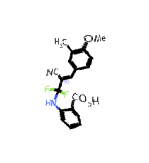 COc1ccc(/C=C(\C#N)C(F)(F)Nc2ccccc2C(=O)O)cc1C